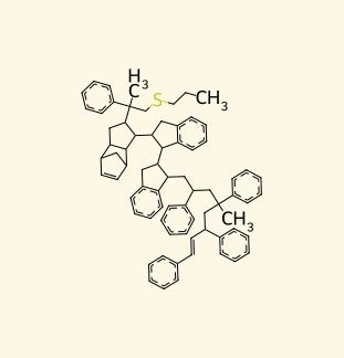 CCCSCC(C)(c1ccccc1)C1CC2C3C=CC(C3)C2C1C1Cc2ccccc2C1C1Cc2ccccc2C1CC(CC(C)(CC(C=Cc1ccccc1)c1ccccc1)c1ccccc1)c1ccccc1